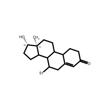 CCC1CC2=CC(=O)CCC2C2CC[C@@]3(C)C(CC[C@@H]3O)C12